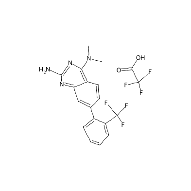 CN(C)c1nc(N)nc2cc(-c3ccccc3C(F)(F)F)ccc12.O=C(O)C(F)(F)F